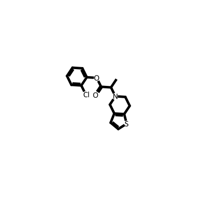 CC(C(=O)Oc1ccccc1Cl)N1CCc2sccc2C1